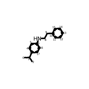 CC(C)c1ccc(NCCc2ccccc2)cc1